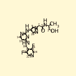 CC(CO)NC(=O)Cn1cc(Nc2nccc(NCc3c(F)cncc3F)n2)cn1